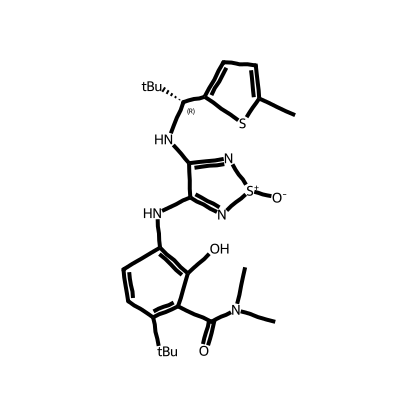 Cc1ccc([C@H](Nc2n[s+]([O-])nc2Nc2ccc(C(C)(C)C)c(C(=O)N(C)C)c2O)C(C)(C)C)s1